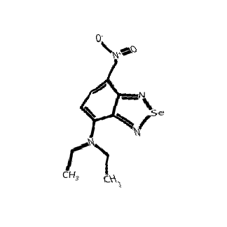 CCN(CC)c1ccc([N+](=O)[O-])c2n[se]nc12